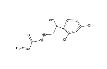 C=CC(=O)NNCC(CCC)c1ccc(Cl)cc1Cl